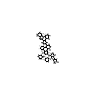 c1ccc(N2c3ccccc3N(c3cccc4c3oc3ccccc34)c3cc4c(cc32)c2ccccc2c2c(-c3ccc5c(c3)c3ccccc3n3c6ccccc6nc53)cccc42)cc1